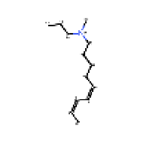 C/C=C\C=C/CCCCN(C)CCC